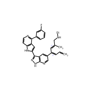 C=C/C=C(\C=C(/C)CNCC)c1cnc2[nH]nc(-c3cc4c(-c5cccc(F)c5)nccc4[nH]3)c2c1